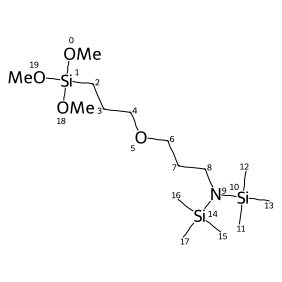 CO[Si](CCCOCCCN([Si](C)(C)C)[Si](C)(C)C)(OC)OC